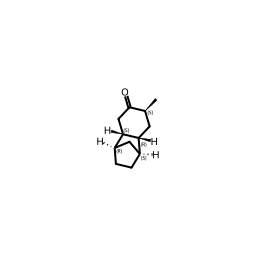 C[C@H]1C[C@@H]2[C@H]3CC[C@H](C3)[C@@H]2CC1=O